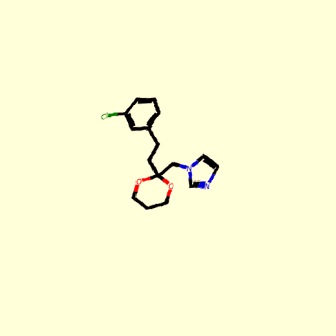 Clc1cccc(CCC2(Cn3ccnc3)OCCCO2)c1